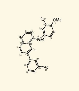 COc1ccc(Nc2ncnc3ccc(-c4cccc(C(C)=O)c4)cc23)cc1Cl